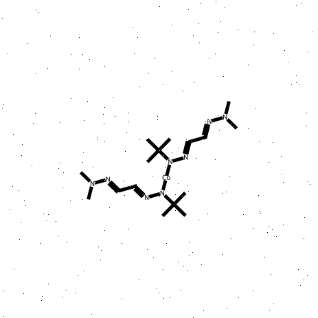 CN(C)N=CC=N[N]([Co][N](N=CC=NN(C)C)C(C)(C)C)C(C)(C)C